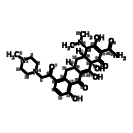 CN1CCN(CC(=O)c2ccc(O)c3c2C[C@H]2C[C@@H]4[C@@H](N(C)C)C(O)=C(C(N)=O)C(=O)[C@@]4(O)C(O)=C2C3=O)CC1